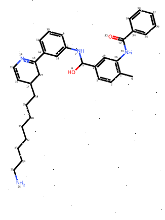 Cc1ccc(C(O)Nc2cccc(C3=NC=CC(CCCCCCCCN)C3)c2)cc1NC(=O)c1ccccc1